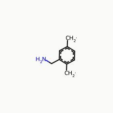 [CH2]c1ccc([CH2])c(CN)c1